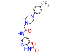 C[C@@H]1CN(c2ccc(C(F)(F)F)cc2)CCN1CC(=O)Nc1cnc2[nH]c(=O)oc2c1